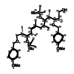 COc1ccc(COC[C@H](C)[C@H](O[Si](C)(C)C(C)(C)C)[C@@H](C)C=C(C)C[C@H](C)[C@@H](O[Si](C)(C)C(C)(C)C)[C@H](C)[C@@H](OCc2ccc(OC)cc2)[C@@H](C)CO)cc1